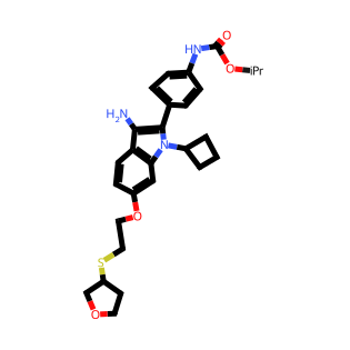 CC(C)OC(=O)Nc1ccc(-c2c(N)c3ccc(OCCSC4CCOC4)cc3n2C2CCC2)cc1